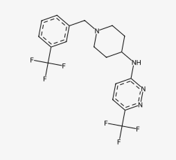 FC(F)(F)c1cccc(CN2CCC(Nc3ccc(C(F)(F)F)nn3)CC2)c1